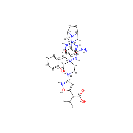 CC(C)C(C(=O)O)c1cc(N2CCC(c3cnc(N4C5CCC4CN(c4cc(-c6ccccc6O)nnc4N)C5)nc3)CC2)no1